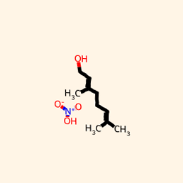 CC(C)=CCC/C(C)=C/CO.O=[N+]([O-])O